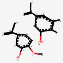 C=C(C)c1cc(C)c(C)c(O)c1.C=C(C)c1ccc(OC)c(O)c1